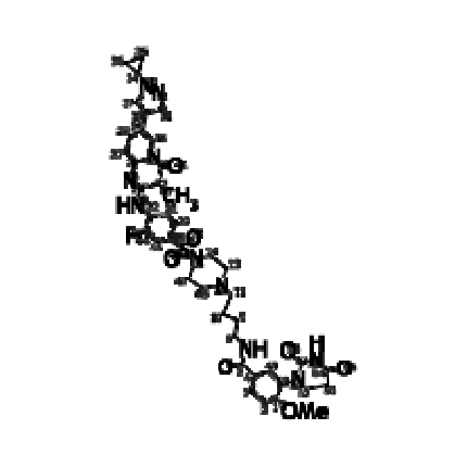 COc1ccc(C(=O)NCCCCN2CCN(S(=O)(=O)c3ccc(Nc4nc5ccc(-c6cnn(C7CC7)c6)cn5c(=O)c4C)c(F)c3)CC2)cc1N1CCC(=O)NC1=O